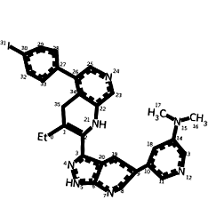 CCC1=C(c2n[nH]c3ncc(-c4cncc(N(C)C)c4)cc23)Nc2cncc(-c3ccc(I)cc3)c2C1